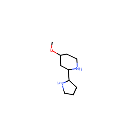 COC1CCNC(C2CCCN2)C1